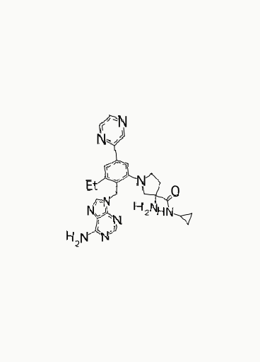 CCc1cc(-c2cnccn2)cc(N2CC[C@](N)(C(=O)NC3CC3)C2)c1Cn1cnc2c(N)ncnc21